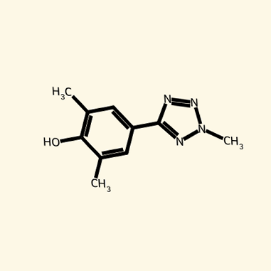 Cc1cc(-c2nnn(C)n2)cc(C)c1O